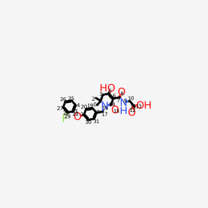 CC1(C)CC(O)=C(C(=O)NCC(=O)O)C(=O)N1Cc1ccc(Oc2ccccc2F)cc1